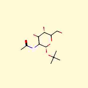 CC(=O)NC1C(O)[C@@H](O)C(CO)O[C@H]1OC(C)(C)C